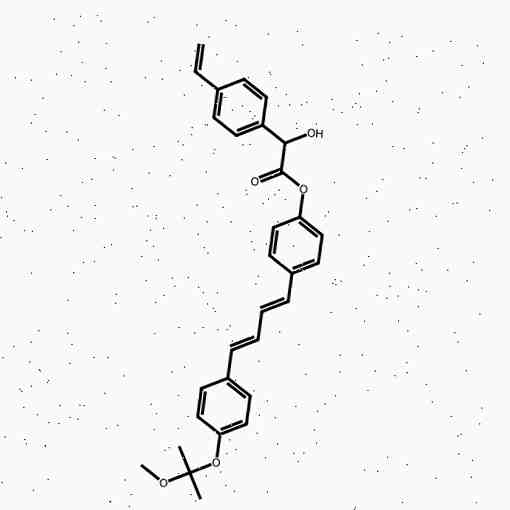 C=Cc1ccc(C(O)C(=O)Oc2ccc(C=CC=Cc3ccc(OC(C)(C)OC)cc3)cc2)cc1